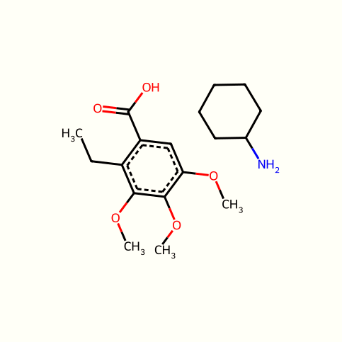 CCc1c(C(=O)O)cc(OC)c(OC)c1OC.NC1CCCCC1